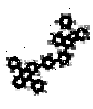 c1ccc(-c2c3ccccc3c(-c3ccccc3)c3cc(-c4ccc(-c5cccc(-c6cc7c8cnccc8n(-c8ccccc8)c7c7ccccc67)c5)cc4)ccc23)cc1